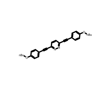 CCCCOc1ccc(C#Cc2ccc(C#Cc3ccc(OCCCC)cc3)nn2)cc1